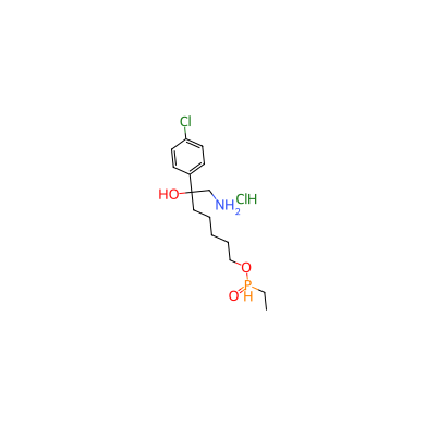 CC[PH](=O)OCCCCCC(O)(CN)c1ccc(Cl)cc1.Cl